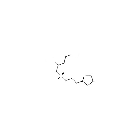 O=C(O)CCC(CP(=O)(O)CCCC1CCCO1)C(=O)O